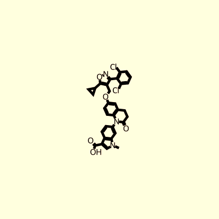 Cn1cc(C(=O)O)c2ccc(N3C(=O)CCc4cc(OCc5c(-c6c(Cl)cccc6Cl)noc5C5CC5)ccc43)cc21